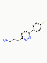 NCCCc1ccc(-c2ccc(F)cc2)nn1